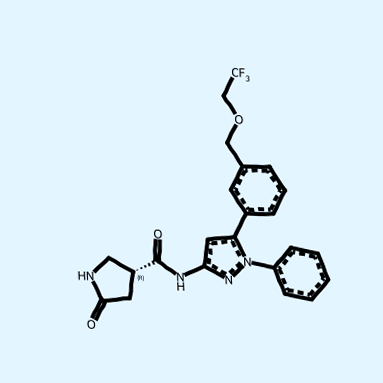 O=C1C[C@@H](C(=O)Nc2cc(-c3cccc(COCC(F)(F)F)c3)n(-c3ccccc3)n2)CN1